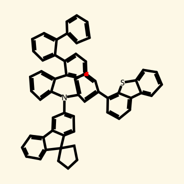 c1ccc(-c2ccccc2-c2ccccc2-c2ccccc2N(c2cccc(-c3cccc4c3sc3ccccc34)c2)c2ccc3c(c2)-c2ccccc2C32CCCC2)cc1